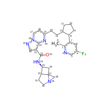 Cc1ncc(F)cc1C1CCCC1CCc1ccn2ncc(C(=O)N[C@H]3CC45CN4CCC35)c2n1